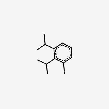 CC(C)c1cccc(I)c1C(C)C